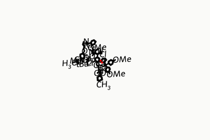 COC(=O)[C@H](Cc1cc(O[Si](C)(C)C(C)(C)C)ccc1OCc1ccnc(-c2ccccc2OC)n1)Oc1nsc2cnc(Cl)c(-c3cc(Cl)c(O[C@H](COC(c4ccccc4)(c4ccc(OC)cc4)c4ccc(OC)cc4)COS(=O)(=O)c4ccc(C)cc4)c(Cl)c3)c12